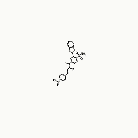 CN(C(=O)/C=C/c1ccc([N+](=O)[O-])cc1)c1ccc(S(N)(=O)=O)c(C2Cc3ccccc3C2)c1